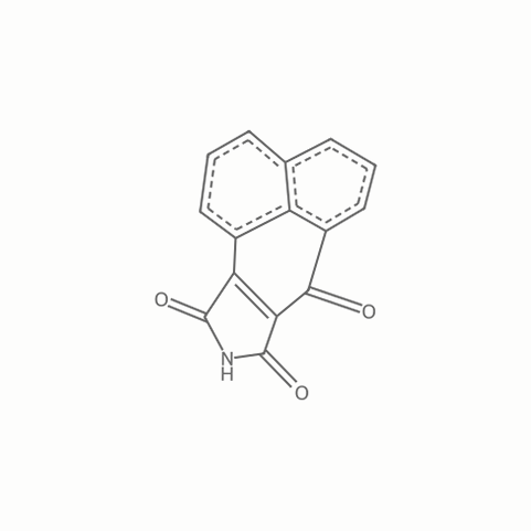 O=C1NC(=O)C2=C1C(=O)c1cccc3cccc2c13